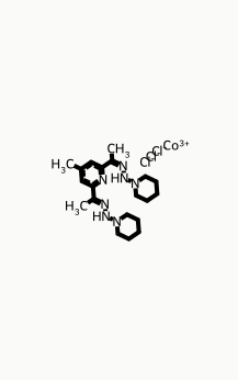 CC(=NNN1CCCCC1)c1cc(C)cc(C(C)=NNN2CCCCC2)n1.[Cl-].[Cl-].[Cl-].[Co+3]